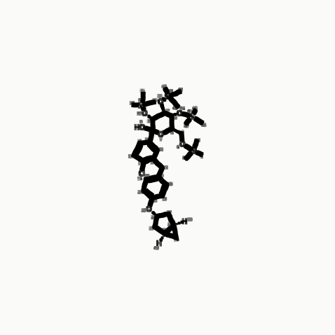 C[Si](C)(C)OC[C@H]1OC(O)(c2ccc(Cl)c(Cc3ccc(O[C@H]4C[C@@H]5C[C@@H]5C4)cc3)c2)[C@H](O[Si](C)(C)C)[C@@H](O[Si](C)(C)C)[C@@H]1O[Si](C)(C)C